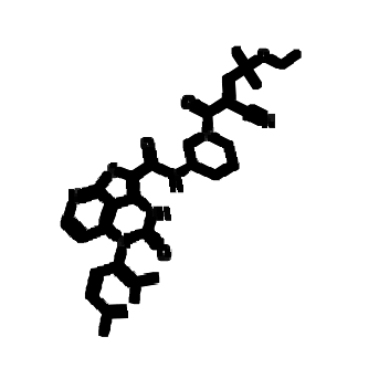 C=C(C)/C=C\C(=C(C)C)N1C(=O)Nc2c(C(=O)N[C@@H]3CCCN(C(=O)/C(C#N)=C/C(C)(C)OCC)C3)sc3nccc1c23